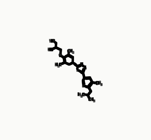 CC1=CC(c2nnc(-c3cnc(CC(C)C)c(C)c3)s2)CC(C)=C1OCC(O)CO